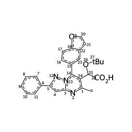 Cc1nc2cc(-c3ccccc3)nn2c(-c2ccc3occc3c2)c1C(OC(C)(C)C)C(=O)O